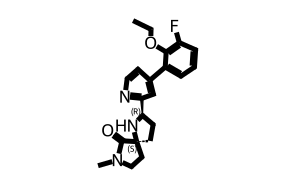 CCOc1c(F)cccc1-c1ccnc([C@H]2CC[C@@]3(CCN(C)C3=O)N2)c1